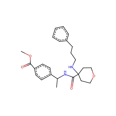 COC(=O)c1ccc(C(C)NC(=O)C2(NCCCc3ccccc3)CCOCC2)cc1